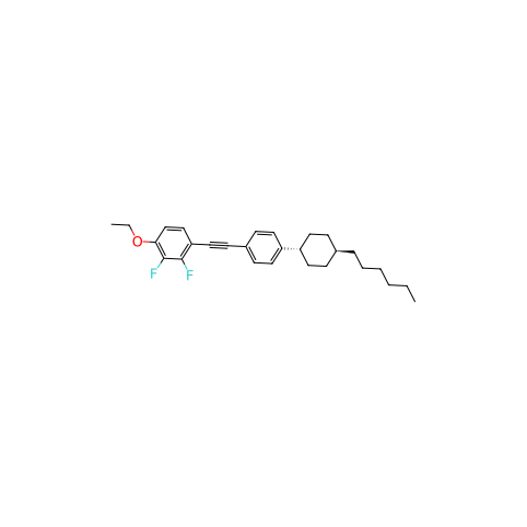 CCCCCC[C@H]1CC[C@H](c2ccc(C#Cc3ccc(OCC)c(F)c3F)cc2)CC1